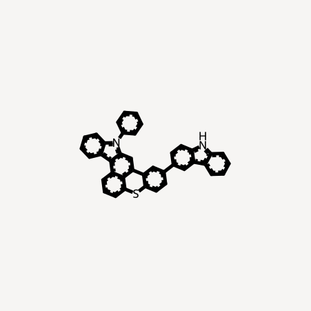 c1ccc(-n2c3ccccc3c3c4cccc5c4c(cc32)-c2cc(-c3ccc4[nH]c6ccccc6c4c3)ccc2S5)cc1